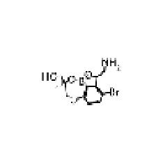 C[C@@]1(CO)COc2ccc(Br)c3c2B(OC3CN)O1